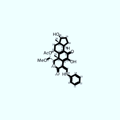 COC[C@H]1OC(=O)C(=CNc2ccccc2)C2=C(O)C(=O)C3=C([C@H](OC(C)=O)C[C@]4(C)[C@@H](O)CC[C@@H]34)[C@]21C